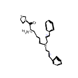 N[C@@H](CCCCN(C/C=C/c1ccccc1)C/C=C/c1ccccc1)C(=O)N1CCSC1